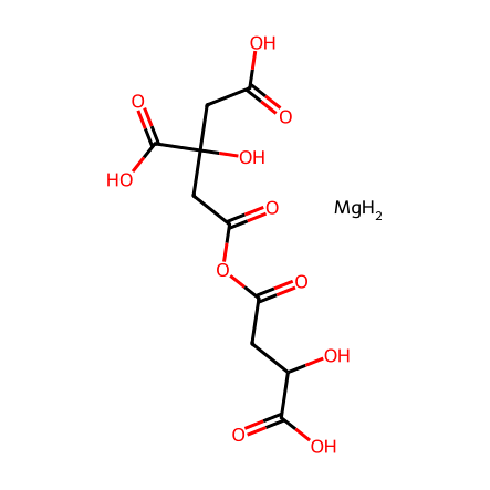 O=C(O)CC(O)(CC(=O)OC(=O)CC(O)C(=O)O)C(=O)O.[MgH2]